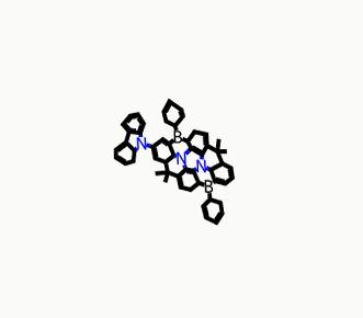 CC1(C)C2=CCC3B(C4C=CC=CC4)C4=CC(N5c6ccccc6C6=CC=CCC65)=CC5C4N4C6=C7C(CC=C6C5(C)C)B(C5C=CC=CC5)C5=CC=CC1C5N7C2=C34